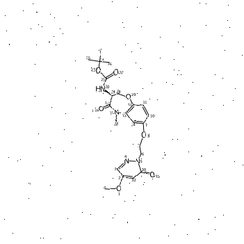 COc1cnn(CCOc2ccc3c(c2)N(C)C(=O)[C@@H](NC(=O)OC(C)(C)C)CO3)c(=O)c1